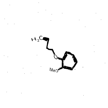 C=CCCOc1ccccc1OC